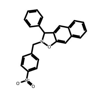 O=[N+]([O-])c1ccc(CN2Oc3cc4ccccc4cc3C2c2ccccc2)cc1